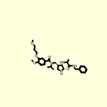 COCCCOc1cc(C(=O)N(C[C@@H]2CNC[C@H]2NC(C)C(=O)NCc2ccccc2)C(C)C)ccc1OC